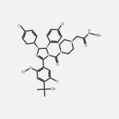 CCOc1cc(C(C)(C)C#N)c(Cl)cc1C1=N[C@@H](C2C=CC(Cl)=CC2)[C@@H](c2ccc(Cl)cc2)N1C(=O)N1CCN(CC(=O)NC(C)(C)C)CC1